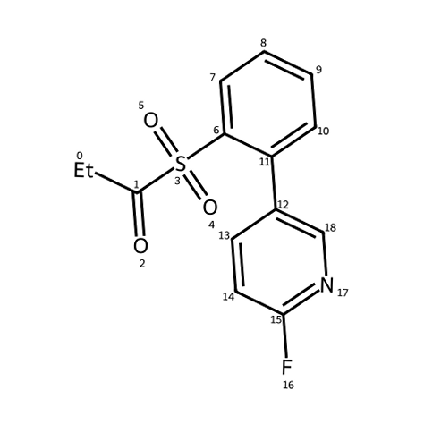 CCC(=O)S(=O)(=O)c1ccccc1-c1ccc(F)nc1